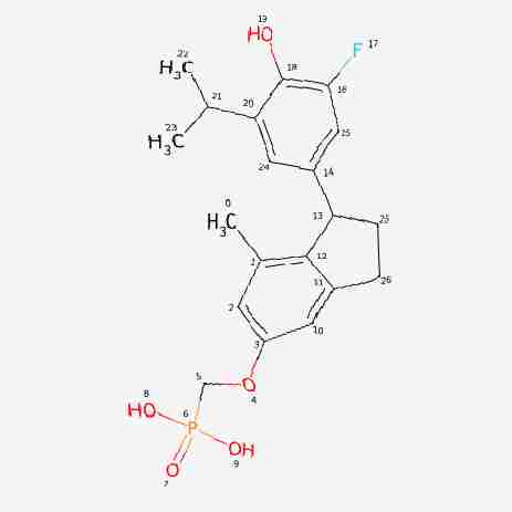 Cc1cc(OCP(=O)(O)O)cc2c1C(c1cc(F)c(O)c(C(C)C)c1)CC2